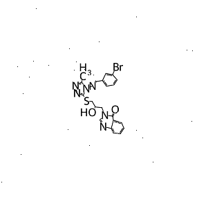 Cc1nnc(SCC(O)Cn2cnc3ccccc3c2=O)n1N=Cc1cccc(Br)c1